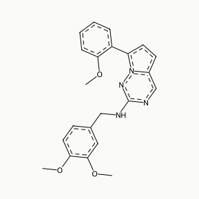 COc1ccc(CNc2ncc3ccc(-c4ccccc4OC)n3n2)cc1OC